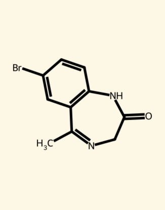 CC1=NCC(=O)Nc2ccc(Br)cc21